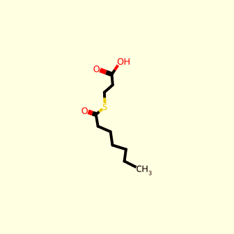 CCCCCCC(=O)SCCC(=O)O